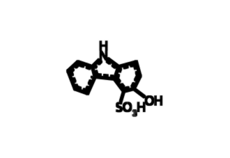 O=S(=O)(O)c1c(O)ccc2[nH]c3ccccc3c12